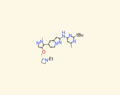 CCN1CC[C@@H]1COc1cnn(C)c1-c1ccn2nc(Nc3cc(C)nc(C(C)(C)C)n3)cc2c1